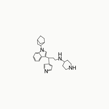 c1ccc2c(c1)c(C(CCNC1CCNCC1)c1ccncc1)cn2C1CC2CCC1C2